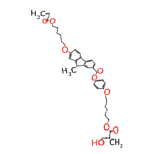 C=CC(=O)OCCCCCCOc1ccc2c(c1)C(C)c1cc(C(=O)Oc3ccc(OCCCCCCOC(=O)C(=C)CO)cc3)ccc1-2